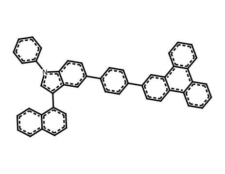 c1ccc(-n2cc(-c3cccc4ccccc34)c3cc(-c4ccc(-c5ccc6c7ccccc7c7ccccc7c6c5)cc4)ccc32)cc1